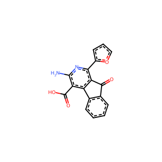 Nc1nc(-c2ccco2)c2c(c1C(=O)O)-c1ccccc1C2=O